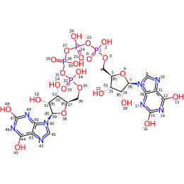 O=P(O)(OC[C@H]1O[C@@H](n2cnc3c(O)nc(O)nc32)[C@H](O)[C@@H]1O)OP(=O)(O)OP(=O)(O)OP(=O)(O)OC[C@H]1O[C@@H](n2cnc3c(O)nc(O)nc32)[C@H](O)[C@@H]1O